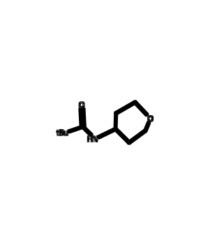 CC(C)(C)C(=O)NC1CCOCC1